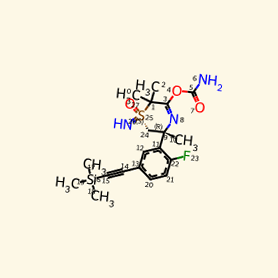 CC1(C)C(OC(N)=O)=N[C@](C)(c2cc(C#C[Si](C)(C)C)ccc2F)C[S@]1(=N)=O